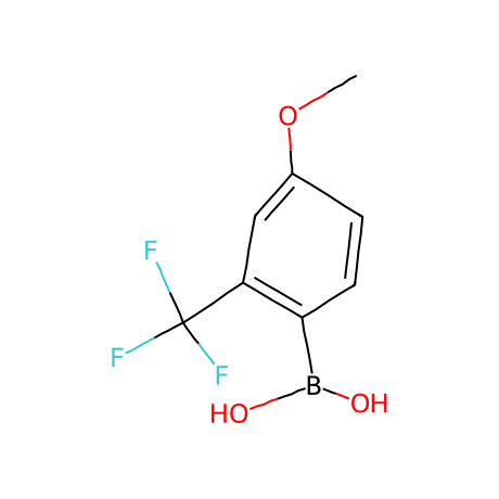 COc1ccc(B(O)O)c(C(F)(F)F)c1